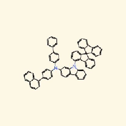 c1ccc(-c2ccc(N(c3ccc(-c4cccc5ccccc45)cc3)c3ccc4c5ccccc5n(-c5cccc6c5-c5ccccc5C65c6ccccc6-c6ccccc65)c4c3)cc2)cc1